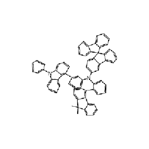 CC1(C)c2ccccc2-c2c(-c3ccccc3N(c3cccc(-c4cccc5c4c4ccccc4n5-c4ccccc4)c3)c3ccc4c(c3)-c3ccccc3C43c4ccccc4-c4ccccc43)cccc21